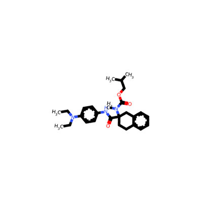 CCN(CC)c1ccc(NC(=O)C2(N(C)C(=O)OCC(C)C)CCc3ccccc3C2)cc1